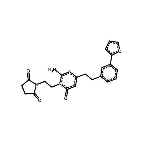 Nc1nc(CCc2cccc(-c3ccco3)c2)cc(=O)n1CCN1C(=O)CCC1=O